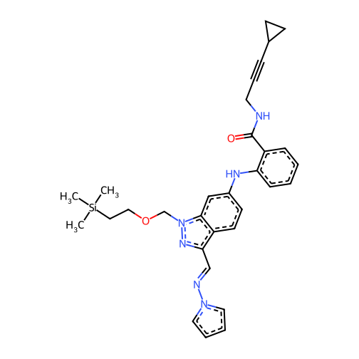 C[Si](C)(C)CCOCn1nc(C=Nn2cccc2)c2ccc(Nc3ccccc3C(=O)NCC#CC3CC3)cc21